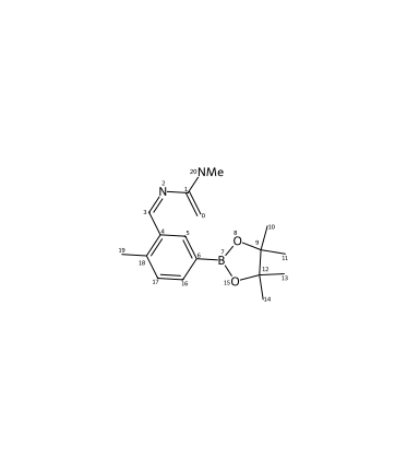 C=C(/N=C\c1cc(B2OC(C)(C)C(C)(C)O2)ccc1C)NC